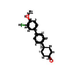 CCOc1ccc(-c2ccc(C3CCC(=O)CC3)cc2)cc1F